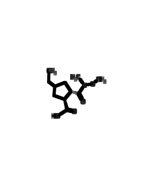 CCC1C[C@H](C(=O)O)[C@@H](C(=O)N(C)OC)C1